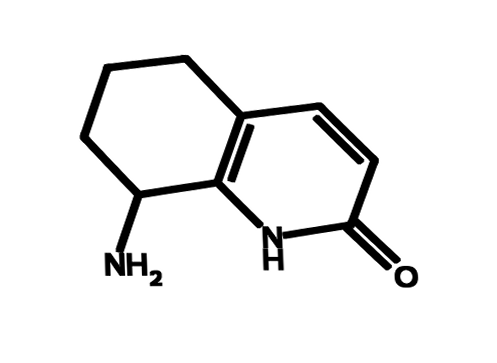 NC1CCCc2ccc(=O)[nH]c21